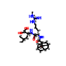 CNC(=N)NCCC[C@H](NC(=O)C12CC3CC(CC(C3)C1)C2)C(=O)N[C@@H](CC(C)C)B(O)O